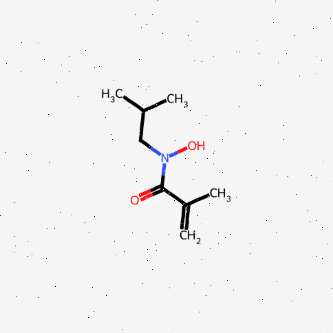 C=C(C)C(=O)N(O)CC(C)C